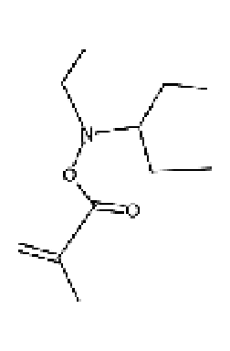 C=C(C)C(=O)ON(CC)C(CC)CC